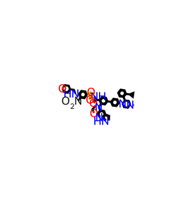 CN1CCN(c2ccc(-c3ccc(C(=O)NS(=O)(=O)c4ccc(NCC5CCOCC5)c([N+](=O)[O-])c4)c(N4CCOc5nc6[nH]ccc6cc54)c3)cc2)C(c2ccccc2C2CC2)C1